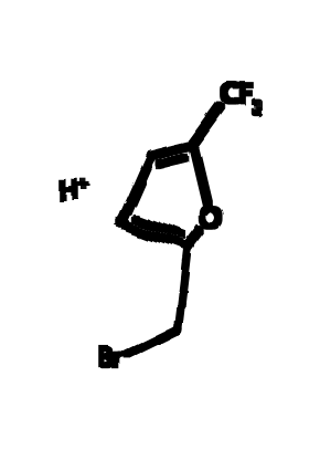 FC(F)(F)c1ccc(CBr)o1.[H+]